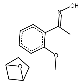 C1CC2CC1O2.COc1ccccc1C(C)=NO